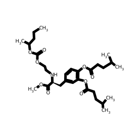 CCCC(C)OC(=O)OCCN[C@@H](Cc1ccc(OC(=O)CCC(C)C)c(OC(=O)CCC(C)C)c1)C(=O)OC